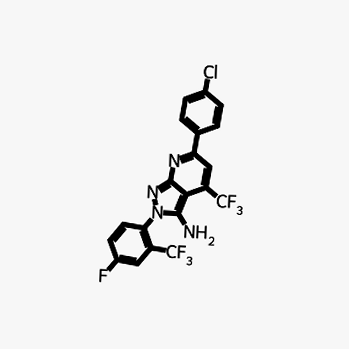 Nc1c2c(C(F)(F)F)cc(-c3ccc(Cl)cc3)nc2nn1-c1ccc(F)cc1C(F)(F)F